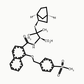 CC(C)(S[C@@H]1C[C@@H]2CC[C@H]1C2)[C@H](NC(=O)c1ccc2ccccc2c1OCc1ccc(S(C)(=O)=O)cc1)C(=O)O